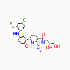 Nc1nc(-c2cc(Nc3ccc(Cl)cc3CF)ccc2O)ccc1C(=O)NCC(O)CO